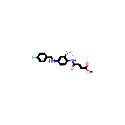 COC(=O)/C=C/C(=O)Nc1ccc(NCc2ccc(F)cc2)cc1N